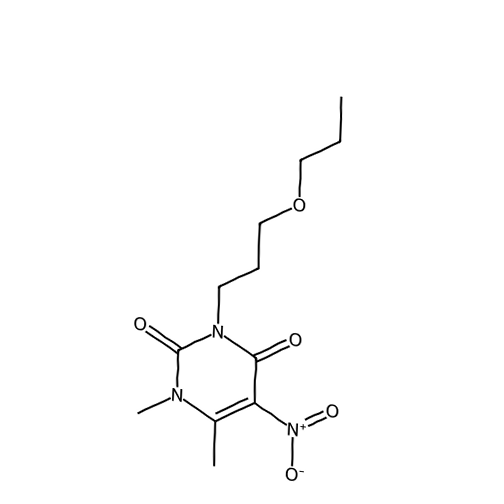 CCCOCCCn1c(=O)c([N+](=O)[O-])c(C)n(C)c1=O